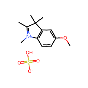 COc1ccc2c(c1)C(C)(C)C(C)=[N+]2C.O=S(=O)([O-])O